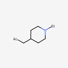 CCN1CCC(CC(C)=O)CC1